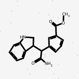 COC(=O)c1cccc(C(C(N)=O)C2CNc3ccccc32)c1